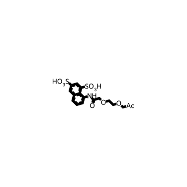 CC(=O)COCCOCC(=O)Nc1cccc2cc(S(=O)(=O)O)cc(S(=O)(=O)O)c12